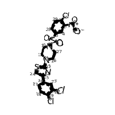 O=[N+]([O-])c1cc(S(=O)(=O)N2CCN(c3nc(-c4ccc(Cl)c(Cl)c4)cs3)CC2)ccc1Cl